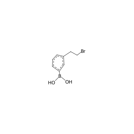 OB(O)c1cccc(CCBr)c1